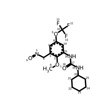 COc1c(CN=O)cc(OC(F)(F)F)cc1NC(=O)NC1CCCCC1